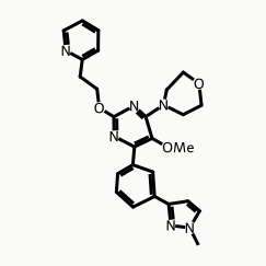 COc1c(-c2cccc(-c3ccn(C)n3)c2)nc(OCCc2ccccn2)nc1N1CCOCC1